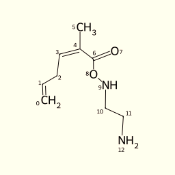 C=CCC=C(C)C(=O)ONCCN